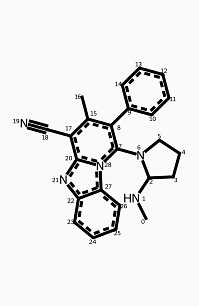 CNC1CCCN1c1c(-c2ccccc2)c(C)c(C#N)c2nc3ccccc3n12